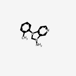 Cc1ccccc1N1CN(N)c2cnccc21